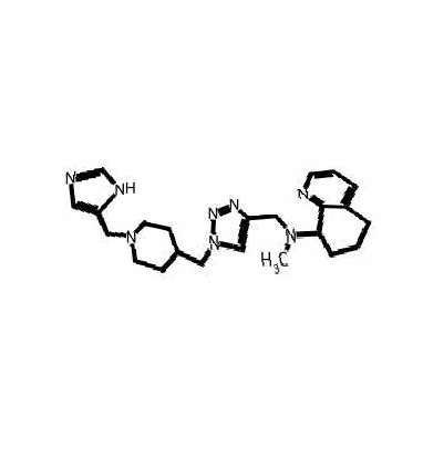 CN(Cc1cn(CC2CCN(Cc3cnc[nH]3)CC2)nn1)C1CCCc2cccnc21